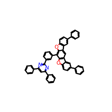 c1ccc(-c2ccc3oc4c(-c5cccc(-c6nc(-c7ccccc7)cc(-c7ccccc7)n6)c5)c5oc6ccc(-c7ccccc7)cc6c5cc4c3c2)cc1